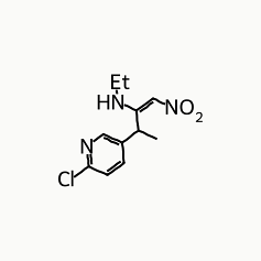 CCN/C(=C/[N+](=O)[O-])C(C)c1ccc(Cl)nc1